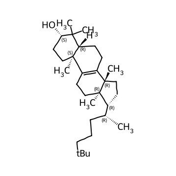 C[C@H](CCCC(C)(C)C)[C@H]1CC[C@@]2(C)C3=C(CC[C@]12C)[C@@]1(C)CC[C@H](O)C(C)(C)[C@@H]1CC3